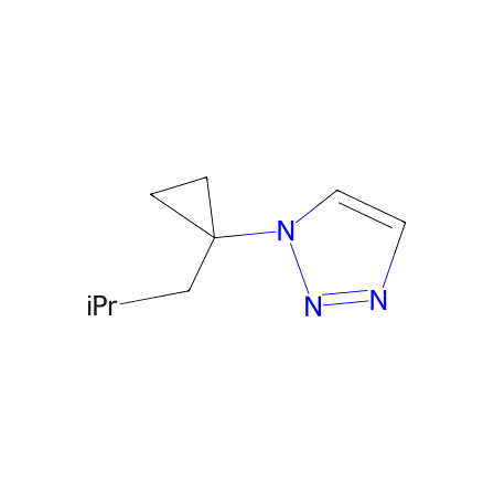 CC(C)CC1(n2ccnn2)CC1